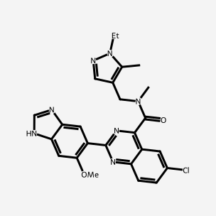 CCn1ncc(CN(C)C(=O)c2nc(-c3cc4nc[nH]c4cc3OC)nc3ccc(Cl)cc23)c1C